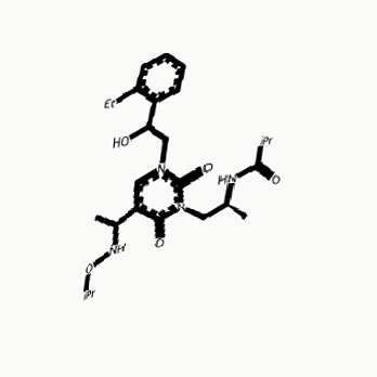 CCc1ccccc1C(O)Cn1cc(C(C)NOC(C)C)c(=O)n(C[C@H](C)NC(=O)C(C)C)c1=O